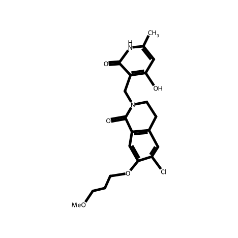 COCCCOc1cc2c(cc1Cl)CCN(Cc1c(O)cc(C)[nH]c1=O)C2=O